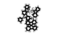 CC1(C)c2ccccc2-c2ccc(N(c3ccc4c(c3)c3c5sc6ccccc6c5ccc3n4-c3ccccc3)c3cccc4c3-c3ccccc3C43c4ccccc4-c4ccccc43)cc21